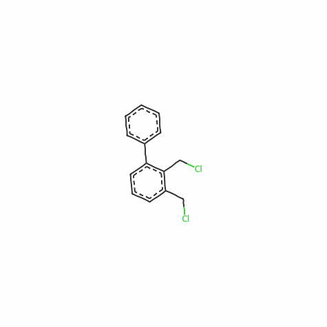 ClCc1cccc(-c2ccccc2)c1CCl